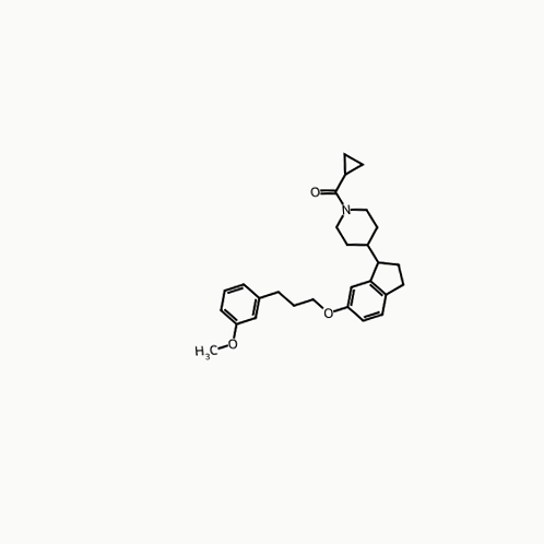 COc1cccc(CCCOc2ccc3c(c2)C(C2CCN(C(=O)C4CC4)CC2)CC3)c1